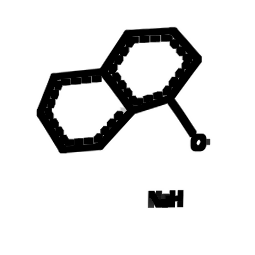 [NaH].[O]c1cccc2ccccc12